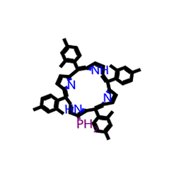 Cc1ccc(-c2c3nc(c(-c4ccc(C)cc4C)c4cc(P)c([nH]4)c(-c4ccc(C)cc4C)c4nc(c(-c5ccc(C)cc5C)c5ccc2[nH]5)C=C4)C=C3)c(C)c1